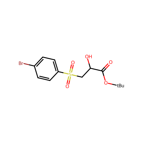 CC(C)(C)OC(=O)C(O)CS(=O)(=O)c1ccc(Br)cc1